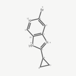 Brc1cc2nc(C3CC3)[nH]c2cn1